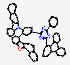 c1ccc(-c2nc(-c3ccc(-n4c5ccccc5c5cc6ccccc6cc54)c(-c4cccc5oc6c7ccccc7ccc6c45)c3)nc(-c3cccc4c5ccccc5c5ccccc5c34)n2)cc1